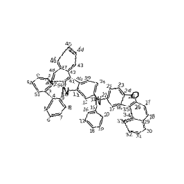 c1ccc(-c2ccccc2-n2c3cc(N(c4ccccc4)c4ccc5oc6ccc7ccccc7c6c5c4)ccc3c3c4ccccc4ccc32)cc1